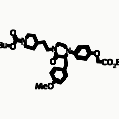 CCOC(=O)COc1ccc(N2CCN(CCC3CCN(C(=O)OC(C)(C)C)CC3)C(=O)C2Cc2ccc(OC)cc2)cc1